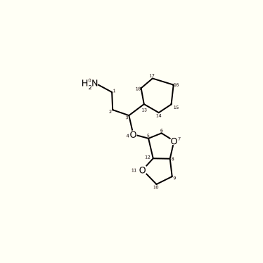 NCCC(OC1COC2CCOC21)C1CCCCC1